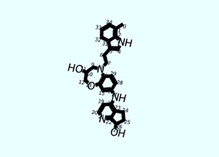 CC1=C2NC=C(CCN3CC(O)COc4cc(Nc5ccnc6c5CCC6O)ccc43)C2CC=C1